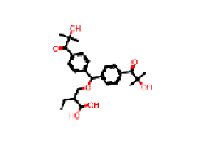 CCC(COC(c1ccc(C(=O)C(C)(C)O)cc1)c1ccc(C(=O)C(C)(C)O)cc1)C(O)O